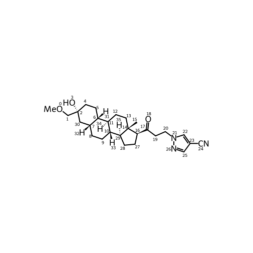 COC[C@@]1(O)CC[C@H]2[C@H](CC[C@@H]3[C@@H]2CC[C@]2(C)[C@@H](C(=O)CCn4cc(C#N)cn4)CC[C@@H]32)C1